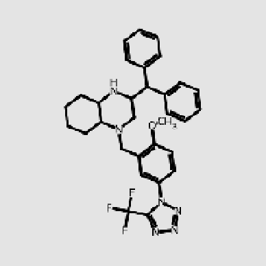 COc1ccc(-n2nnnc2C(F)(F)F)cc1CN1CC(C(c2ccccc2)c2ccccc2)NC2CCCCC21